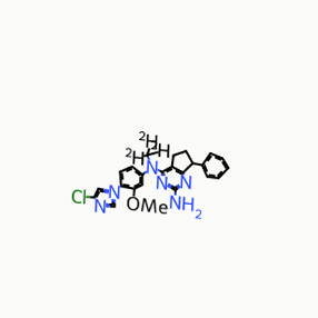 [2H]C([2H])([2H])N(c1ccc(-n2cnc(Cl)c2)c(OC)c1)c1nc(N)nc2c1CCC2c1ccccc1